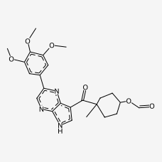 COc1cc(-c2cnc3[nH]cc(C(=O)C4(C)CCC(OC=O)CC4)c3n2)cc(OC)c1OC